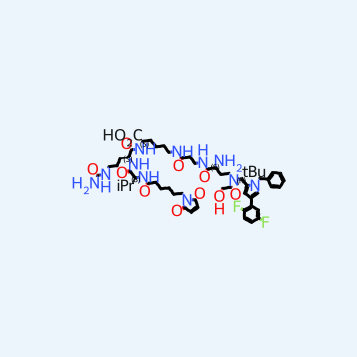 CC(C)[C@H](NC(=O)CCCCCN1C(=O)C=CC1=O)C(=O)N[C@@H](CCCNC(N)=O)C(=O)N[C@@H](CCCCNC(=O)CCNC(=O)[C@@H](N)CCN(C(=O)CO)[C@@H](c1cc(-c2cc(F)ccc2F)cn1Cc1ccccc1)C(C)(C)C)C(=O)O